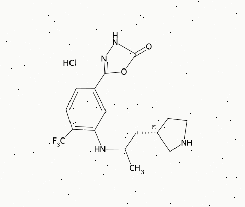 CC(C[C@@H]1CCNC1)Nc1cc(-c2n[nH]c(=O)o2)ccc1C(F)(F)F.Cl